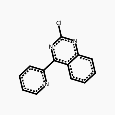 Clc1nc(-c2ccccn2)c2ccccc2n1